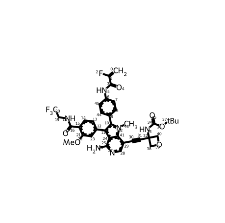 C=C(F)C(=O)Nc1ccc(-c2c(-c3ccc(C(=O)NCC(F)(F)F)c(OC)c3)c3c(N)ncc(C#CC4(NC(=O)OC(C)(C)C)COC4)c3n2C)cc1